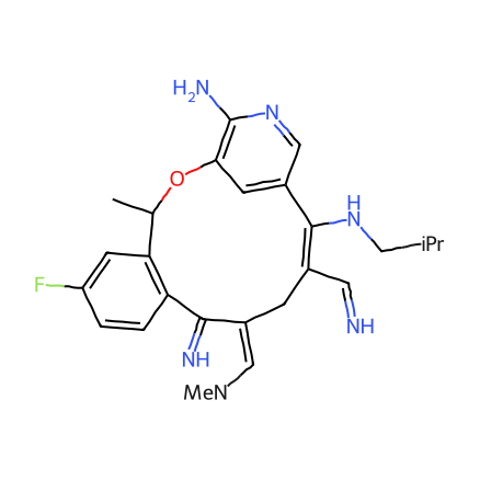 CN/C=C1/C/C(C=N)=C(/NCC(C)C)c2cnc(N)c(c2)OC(C)c2cc(F)ccc2C1=N